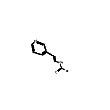 O=C(O)NC=Cc1cccnc1